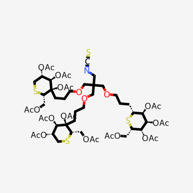 CC(=O)OC[C@@H]1S[C@H](CCCOCC(CN=C=S)(COCCC[C@]2(OC(C)=O)[C@H](COC(C)=O)SC[C@H](OC(C)=O)[C@H]2OC(C)=O)COCCC[C@]2(OC(C)=O)[C@H](COC(C)=O)SC[C@H](OC(C)=O)[C@H]2OC(C)=O)[C@@H](OC(C)=O)[C@@H](OC(C)=O)[C@@H]1OC(C)=O